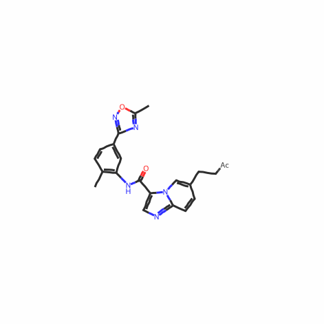 CC(=O)CCc1ccc2ncc(C(=O)Nc3cc(-c4noc(C)n4)ccc3C)n2c1